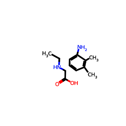 CCNCC(=O)O.Cc1cccc(N)c1C